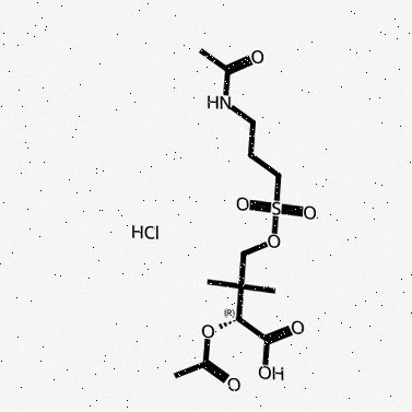 CC(=O)NCCCS(=O)(=O)OCC(C)(C)[C@@H](OC(C)=O)C(=O)O.Cl